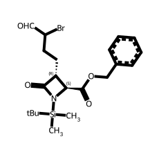 CC(C)(C)[Si](C)(C)N1C(=O)[C@H](CCC(Br)C=O)[C@H]1C(=O)OCc1ccccc1